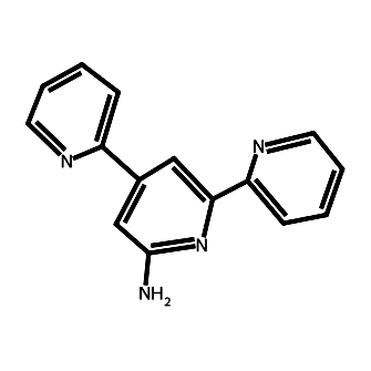 Nc1cc(-c2ccccn2)cc(-c2ccccn2)n1